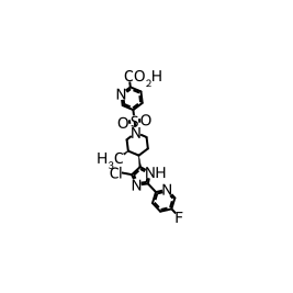 C[C@H]1CN(S(=O)(=O)c2ccc(C(=O)O)nc2)CC[C@H]1c1[nH]c(-c2ccc(F)cn2)nc1Cl